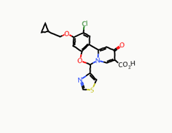 O=C(O)c1cn2c(cc1=O)-c1cc(Cl)c(OCC3CC3)cc1OC2c1cscn1